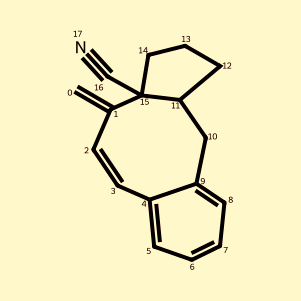 C=C1/C=C\c2ccccc2CC2CCCC12C#N